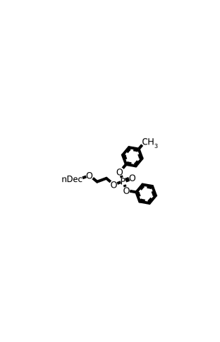 CCCCCCCCCCOCCOP(=O)(Oc1ccccc1)Oc1ccc(C)cc1